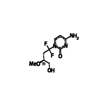 CO[C@H](CO)CC(F)(F)n1ccc(N)nc1=O